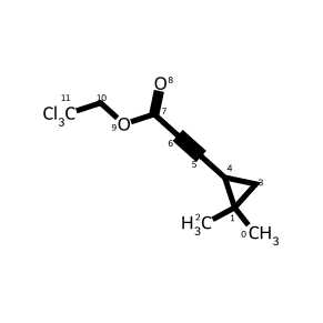 CC1(C)CC1C#CC(=O)OCC(Cl)(Cl)Cl